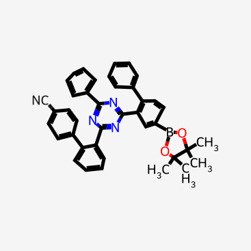 CC1(C)OB(c2ccc(-c3ccccc3)c(-c3nc(-c4ccccc4)nc(-c4ccccc4-c4ccc(C#N)cc4)n3)c2)OC1(C)C